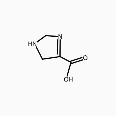 O=C(O)C1=NCNC1